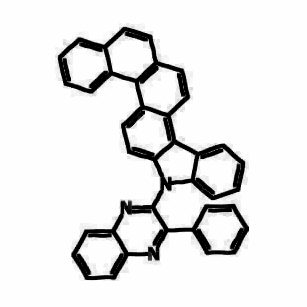 c1ccc(-c2nc3ccccc3nc2-n2c3ccccc3c3c4ccc5ccc6ccccc6c5c4ccc32)cc1